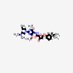 CCCN(CCN(C)C)c1nc(OC)c(NC(=O)C2OC(Oc3cccc([Si](C)(C)C)c3)=CC2=O)c(OC)n1